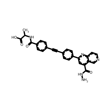 CC(NC(=O)c1ccc(C#Cc2ccc(-c3cc(C(=O)NN)c4cnccc4n3)cc2)cc1)C(=O)O